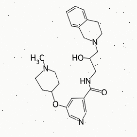 CN1CCC(Oc2cncc(C(=O)NCC(O)CN3CCc4ccccc4C3)c2)CC1